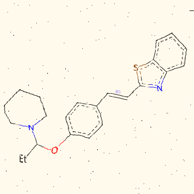 CCC(Oc1ccc(/C=C/c2nc3ccccc3s2)cc1)N1CCCCC1